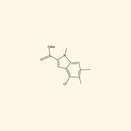 COC(=O)c1cc2c(Cl)c(C)c(C)cc2n1C